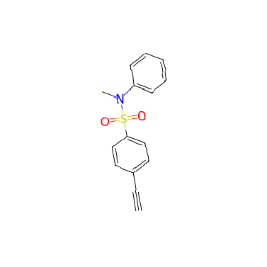 C#Cc1ccc(S(=O)(=O)N(C)c2ccccc2)cc1